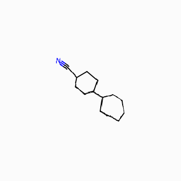 N#CC1CCC(C2CCCCCC2)CC1